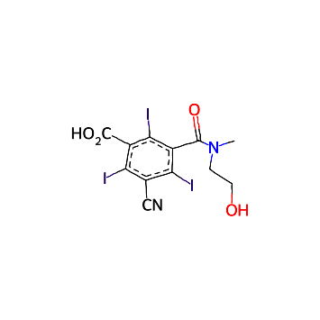 CN(CCO)C(=O)c1c(I)c(C#N)c(I)c(C(=O)O)c1I